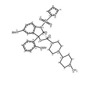 COc1ccc2c(c1)C(OC(=O)N1CCN(C3CCN(C)CC3)CC1)(c1ccccc1OC)C(=O)N2S(=O)(=O)c1cccs1